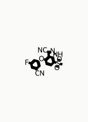 CS(=O)(=O)c1ccc(Oc2cc(F)cc(C#N)c2)c2c(C#N)n[nH]c12